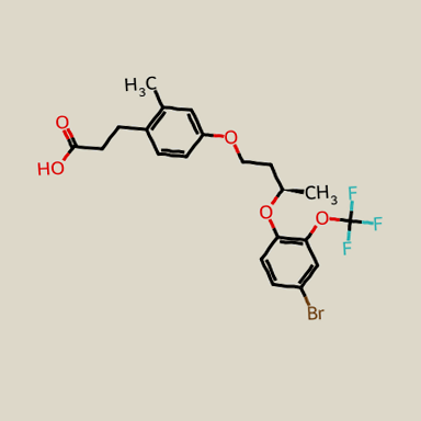 Cc1cc(OCC[C@@H](C)Oc2ccc(Br)cc2OC(F)(F)F)ccc1CCC(=O)O